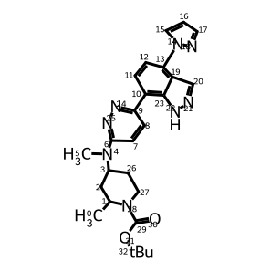 CC1CC(N(C)c2ccc(-c3ccc(-n4cccn4)c4cn[nH]c34)nn2)CCN1C(=O)OC(C)(C)C